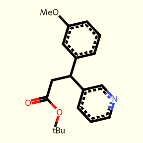 COc1cccc(C(CC(=O)OC(C)(C)C)c2cccnc2)c1